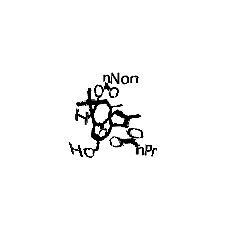 CCCCCCCCCC(=O)O[C@@]12C[C@@H](C)C34C=C(C)C(OC(=O)CCC)C3CC(CO)=CC(C4=O)[C@@H]1C2(C)C